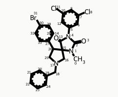 CN1C(=O)N(c2cc(Cl)cc(Cl)c2)C(=O)C12CN(Cc1ccccc1)CC2c1ccc(Br)cc1